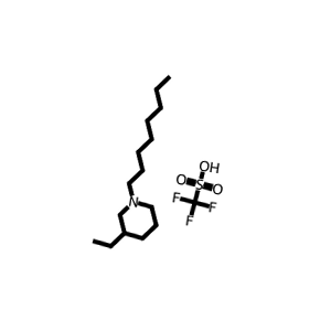 CCCCCCCCN1CCCC(CC)C1.O=S(=O)(O)C(F)(F)F